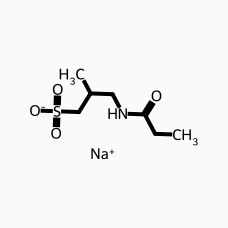 CCC(=O)NCC(C)CS(=O)(=O)[O-].[Na+]